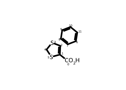 O=C(O)C1=CSCS1.c1ccccc1